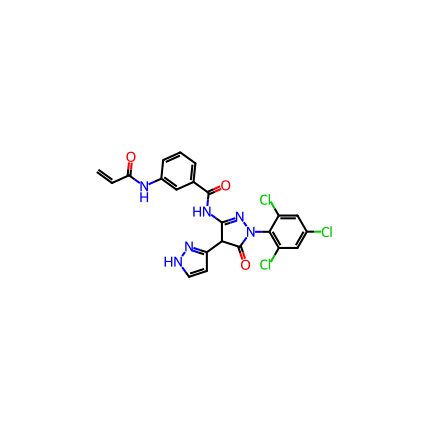 C=CC(=O)Nc1cccc(C(=O)NC2=NN(c3c(Cl)cc(Cl)cc3Cl)C(=O)C2c2cc[nH]n2)c1